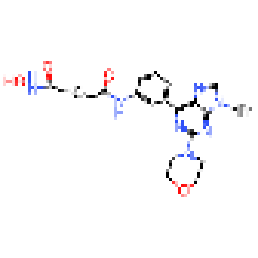 CC(C)n1cnc2c(-c3cccc(NC(=O)CCCC(=O)NO)c3)nc(N3CCOCC3)nc21